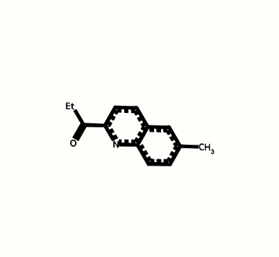 CCC(=O)c1ccc2cc(C)ccc2n1